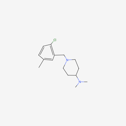 Cc1ccc(Cl)c(CN2CCC(N(C)C)CC2)c1